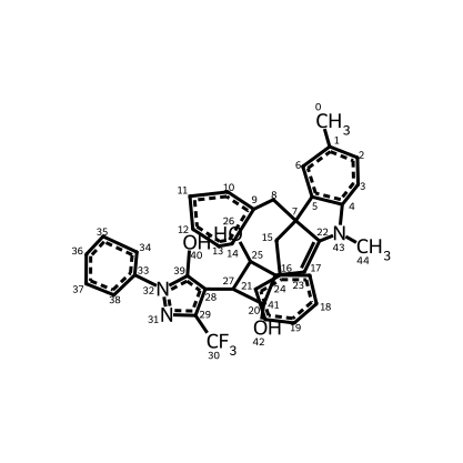 Cc1ccc2c(c1)C(Cc1ccccc1)(Cc1ccccc1)C(=CC1C(O)C(c3c(C(F)(F)F)nn(-c4ccccc4)c3O)C1O)N2C